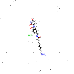 Cl.NCCCCCCCCCC(=O)NCc1ccc2c(c1)CN(C1CCC(=O)NC1=O)C2=O